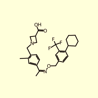 CC(=NOCc1ccc(C2CCCCC2)c(C(F)(F)F)c1)c1ccc(CN2CC(C(=O)O)C2)c(C)c1